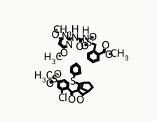 COC(=O)c1ccccc1CS(=O)(=O)NC(=O)Nc1nc(OC)cc(OC)n1.CS(=O)(=O)c1ccc(C(=O)C2=C(Sc3ccccc3)C3CCC(C3)C2=O)c(Cl)c1